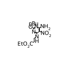 CCCCOc1nc(N)c([N+](=O)[O-])c(NCCC(=O)OCC)n1